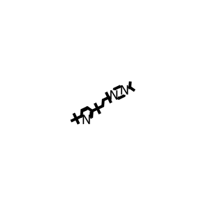 CC(C)N1CCN(C(C)(C)CCC(C)(C)c2ccc(C(C)(C)C)nc2)CC1